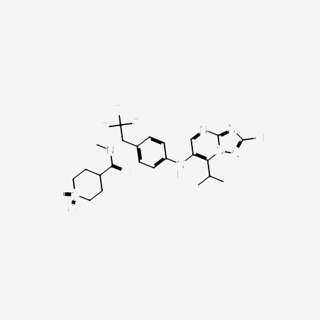 CC(C)c1c(Nc2ccc([C@H](N(C)C(=O)C3CCS(=O)(=O)CC3)C(F)(F)F)cc2)cnc2nc(Cl)nn12